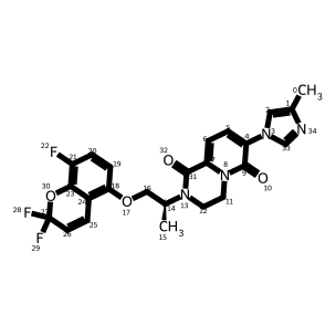 Cc1cn(-c2ccc3n(c2=O)CCN([C@@H](C)COc2ccc(F)c4c2C=CC(F)(F)O4)C3=O)cn1